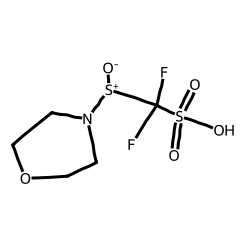 O=S(=O)(O)C(F)(F)[S+]([O-])N1CCOCC1